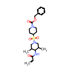 C=CC(=O)NC1C(C)CN(S(=O)(=O)C2CCN(C(=O)OCc3ccccc3)CC2)CC1C